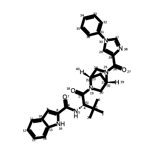 CC(C)(C)[C@H](NC(=O)c1cc2ccccc2[nH]1)C(=O)N1C[C@@H]2C[C@H]1CN2C(=O)c1cn(-c2ccccc2)cn1